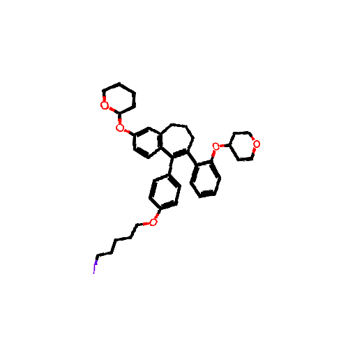 ICCCCCOc1ccc(C2=C(c3ccccc3OC3CCOCC3)CCCc3cc(OC4CCCCO4)ccc32)cc1